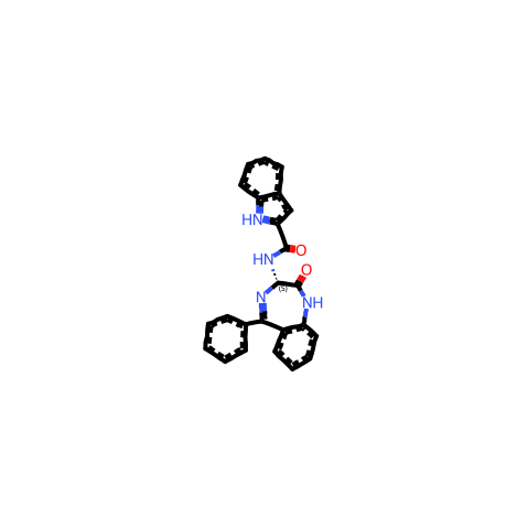 O=C(N[C@H]1N=C(c2ccccc2)c2ccccc2NC1=O)c1cc2ccccc2[nH]1